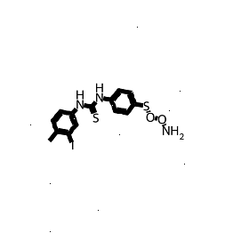 Cc1ccc(NC(=S)Nc2ccc(SOON)cc2)cc1I